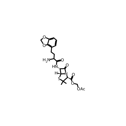 CC(=O)OCOC(=O)[C@@H]1N2C(=O)[C@@H](NC(=O)C(N)CCc3cccc4c3OCO4)[C@H]2SC1(C)C